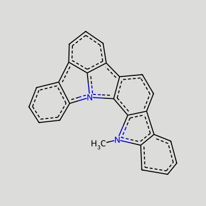 Cn1c2ccccc2c2ccc3c4cccc5c6ccccc6n(c54)c3c21